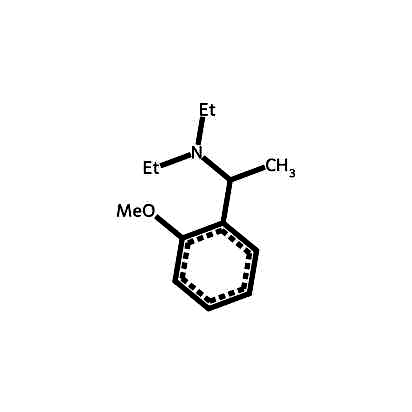 CCN(CC)C(C)c1ccccc1OC